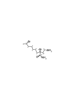 CC(Br)CCCCCC(Br)(CCN)C(N)=O